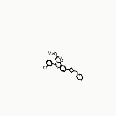 COC(=O)Cn1c(-c2cccc(Cl)c2)nc2ccc(C3CC(CN4CCCCC4)C3)cc2c1=O